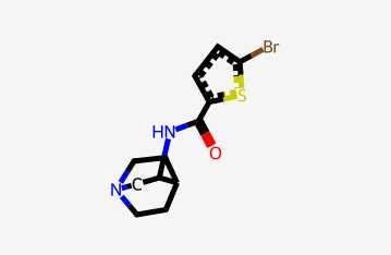 O=C(NC1CN2CCC1CC2)c1ccc(Br)s1